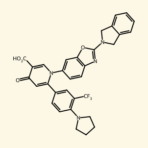 O=C(O)c1cn(-c2ccc3nc(N4Cc5ccccc5C4)oc3c2)c(-c2ccc(N3CCCC3)c(C(F)(F)F)c2)cc1=O